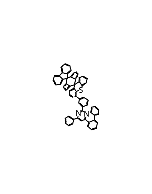 c1ccc(-c2cc(-c3ccccc3-c3ccccc3)nc(-c3cccc(-c4cccc5c4Sc4ccccc4C54c5ccccc5C5(c6ccccc6-c6ccccc65)c5ccccc54)c3)n2)cc1